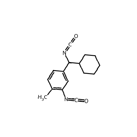 Cc1ccc(C(N=C=O)C2CCCCC2)cc1N=C=O